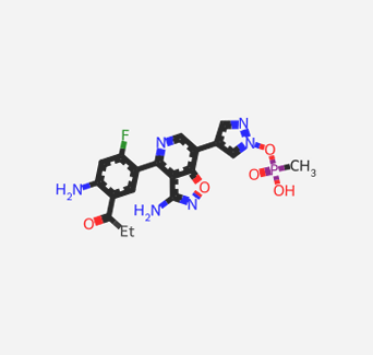 CCC(=O)c1cc(-c2ncc(-c3cnn(OP(C)(=O)O)c3)c3onc(N)c23)c(F)cc1N